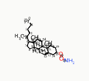 CC(C)CCC[C@@H](C)C1CC[C@H]2[C@@H]3CC=C4C[C@@H](OON)CC[C@]4(C)[C@H]3CC[C@]12C